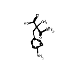 CC(Cc1ccc(N)cc1)(C(N)=O)C(=O)O